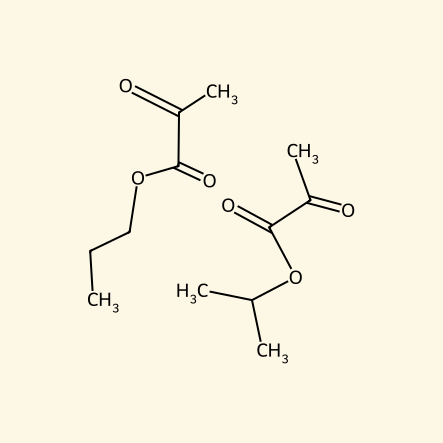 CC(=O)C(=O)OC(C)C.CCCOC(=O)C(C)=O